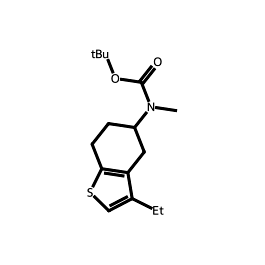 CCc1csc2c1CC(N(C)C(=O)OC(C)(C)C)CC2